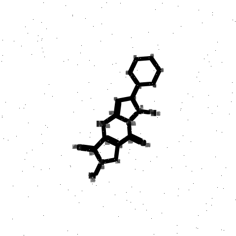 [2H]N1C(C2CCCCC2)C=C2NC3=C(CN(C(C)C)C3=O)C(=O)N21